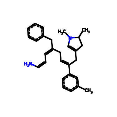 Cc1cccc(/C(=C/C/C(=C\C=C/N)Cc2ccccc2)CC2=CN(C)C(C)C2)c1